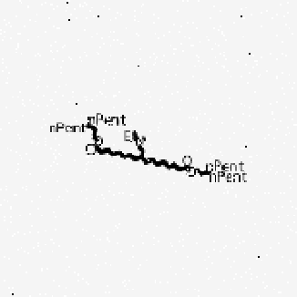 CCCCCC(CCCCC)CCOC(=O)CCCCCCCC(CCCCCCCC(=O)OCCC(CCCCC)CCCCC)CCN(C)CC